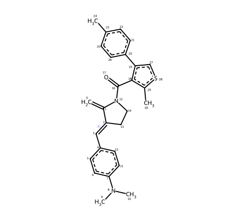 C=C1/C(=C/c2ccc(N(C)C)cc2)CCN1C(=O)c1c(-c2ccc(C)cc2)csc1C